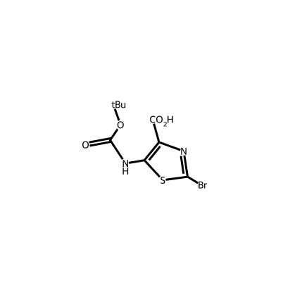 CC(C)(C)OC(=O)Nc1sc(Br)nc1C(=O)O